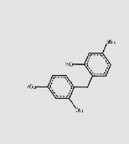 CCCCc1ccc(Cc2ccc(CCCC)cc2O)c(O)c1